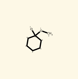 COC1([O])CCCCC1